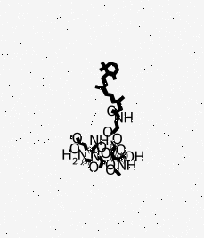 COC(=O)CC[C@H](C(N)=O)N(CC(C)O[C@H]1[C@H](O)[C@@H](COC(=O)CCNC(=O)C=C(C)C=CC=C(C)C=CC2=C(C)CCCC2(C)C)O[C@H](O)[C@@H]1NC(C)=O)C(=O)[C@H](C)N